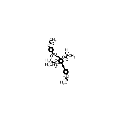 C=CC(=O)Oc1ccc(C#Cc2cc(OC(=O)C(=C)C)c(/C=C/OC(=O)c3ccc(OC(=O)C=C)cc3)c(OC(=O)C(=C)C)c2C)cc1